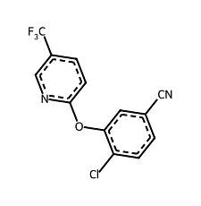 N#Cc1ccc(Cl)c(Oc2ccc(C(F)(F)F)cn2)c1